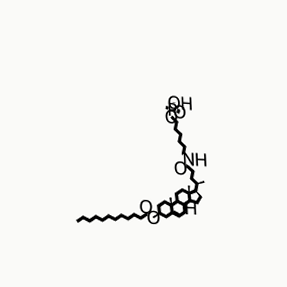 CCCCCCCCCCCC(=O)O[C@H]1CC[C@@]2(C)C(=CC[C@@H]3C2CC[C@@]2(C)C3CC[C@@H]2[C@H](C)CCC(=O)NCCCCCCOP(C)(=O)O)C1